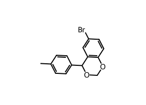 Cc1ccc(C2OCOc3ccc(Br)cc32)cc1